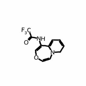 O=C(NC1=COC=CN2CC=CC=C12)C(F)(F)F